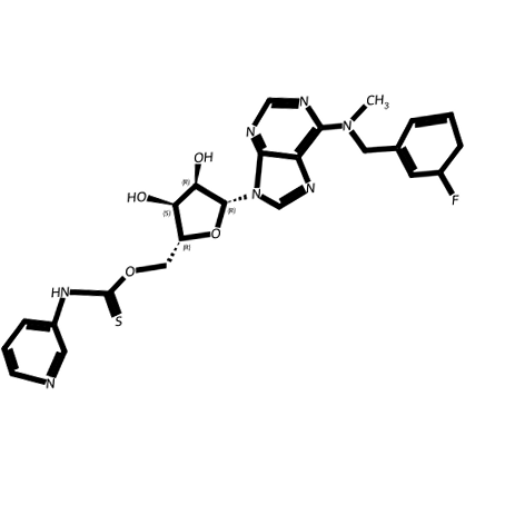 CN(CC1=CC(F)CC=C1)c1ncnc2c1ncn2[C@@H]1O[C@H](COC(=S)Nc2cccnc2)[C@@H](O)[C@H]1O